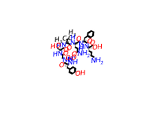 CC(C)[C@H](NC(=O)[C@H](CO)NC(=O)CNC(=O)[C@H](Cc1ccc(O)cc1)N[N+](=O)[O-])C(=O)N[C@@H](CCC(N)=O)C(=O)N[C@@H](Cc1ccccc1)C(=O)N[C@@H](CCCCN)C(=O)O